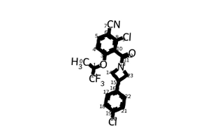 CC(Oc1ccc(C#N)c(Cl)c1C(=O)N1CC(c2ccc(Cl)cc2)C1)C(F)(F)F